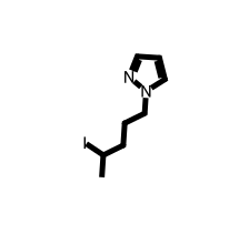 CC(I)CCCn1cccn1